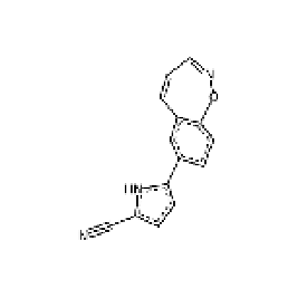 N#Cc1ccc(-c2ccc3c(c2)C=CC=NO3)[nH]1